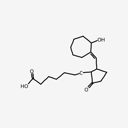 O=C(O)CCCCCCC1C(=O)CCC1C=C1CCCCCC1O